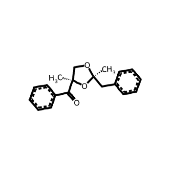 C[C@@]1(Cc2ccccc2)OC[C@](C)(C(=O)c2ccccc2)O1